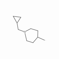 [CH2]C1CCN(CC2CC2)CC1